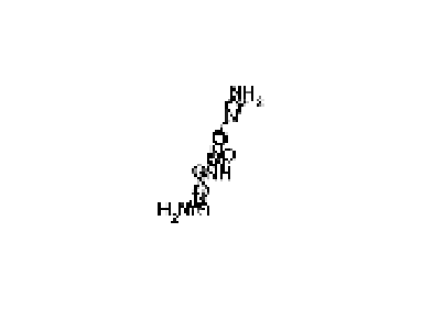 CC1CN(CCc2ccc(-n3ccc(NC(=O)N4CCN(C(=O)C(C)(C)N)CC4)nc3=O)cc2)CC[C@H]1N